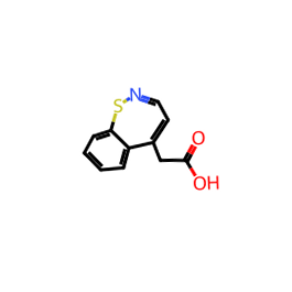 O=C(O)CC1=CC=NSc2ccccc21